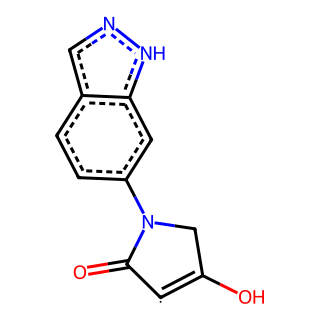 O=C1[C]=C(O)CN1c1ccc2cn[nH]c2c1